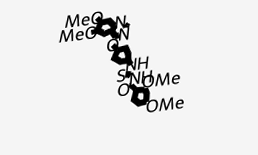 COc1ccc(C(=O)NC(=S)Nc2ccc(Oc3ncnc4cc(OC)c(OC)cc34)cc2)c(OC)c1